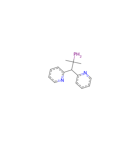 CC(C)(P)C(c1ccccn1)c1ccccn1